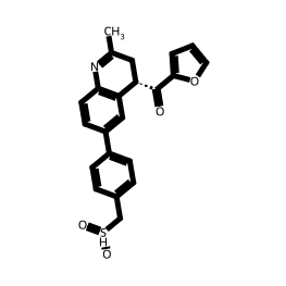 CC1=Nc2ccc(-c3ccc(C[SH](=O)=O)cc3)cc2[C@@H](C(=O)c2ccco2)C1